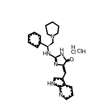 Cl.Cl.O=C1NC(N[C@H](CN2CCCCC2)c2ccccc2)=N/C1=C\c1c[nH]c2ncccc12